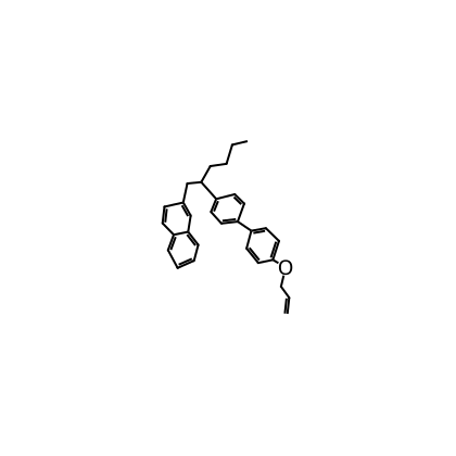 C=CCOc1ccc(-c2ccc(C(CCCC)Cc3ccc4ccccc4c3)cc2)cc1